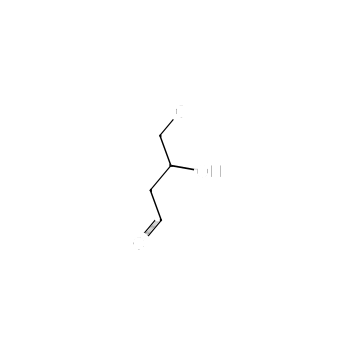 O=CCC(O)CCl